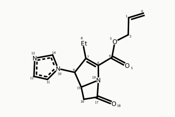 C=CCOC(=O)C1=C(CC)C(n2ccnc2)C2CC(=O)N12